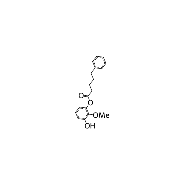 COc1c(O)cccc1OC(=O)CCCCc1ccccc1